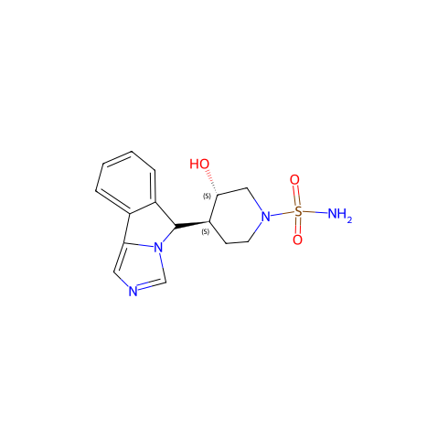 NS(=O)(=O)N1CC[C@@H](C2c3ccccc3-c3cncn32)[C@H](O)C1